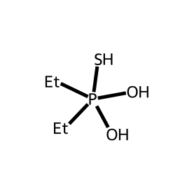 CCP(O)(O)(S)CC